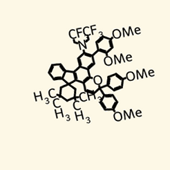 COc1ccc(C2(c3ccc(OC)cc3)C=Cc3c4c(c5cc(N(CC(F)(F)F)CC(F)(F)F)c(-c6ccc(OC)cc6OC)cc5c3O2)-c2ccccc2C42CC(C)(C)CC(C)(C)C2)cc1